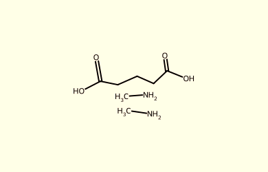 CN.CN.O=C(O)CCCC(=O)O